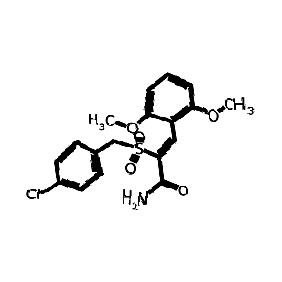 COc1cccc(OC)c1C=C(C(N)=O)S(=O)(=O)Cc1ccc(Cl)cc1